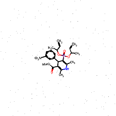 C=CC(C)OP(=O)(OC(C)C=C)C1=C(C)NC(C)=C(C(=O)OC)C1c1cccc([N+](=O)[O-])c1